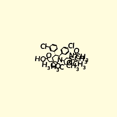 CC(=O)N=S(=O)(CC(C(C)C)N1C(=O)[C@@](C)(CC(=O)O)C[C@H](c2cccc(Cl)c2)[C@H]1c1ccc(Cl)cc1)C(C)C